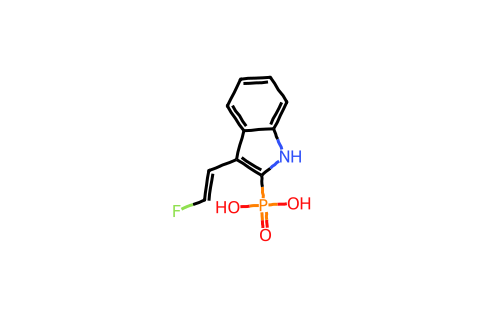 O=P(O)(O)c1[nH]c2ccccc2c1C=CF